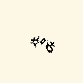 CC1(C)NC(=O)N([C@H]2C[C@@H](Oc3ccccc3C(C)(C)C)C2)C1=O